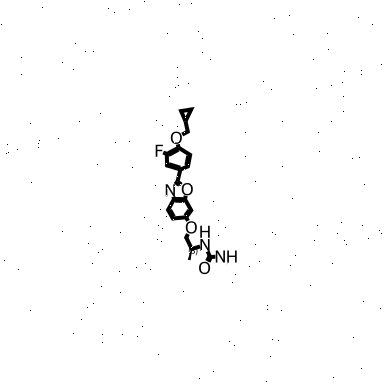 CNC(=O)N[C@@H](C)COc1ccc2nc(-c3ccc(OCC4CC4)c(F)c3)oc2c1